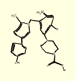 Cc1cc(-c2ccc(C#N)cc2)cn1Cc1cc(N2CCN(C(=O)OC(C)(C)C)CC2)c(F)cc1N